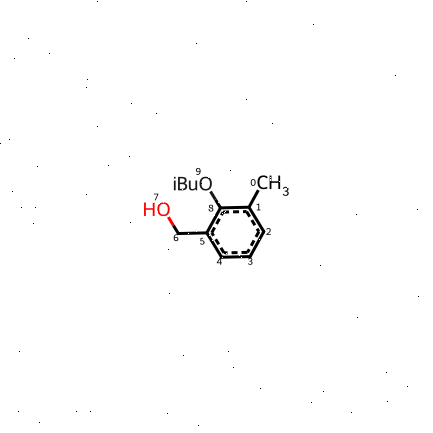 Cc1cccc(CO)c1OCC(C)C